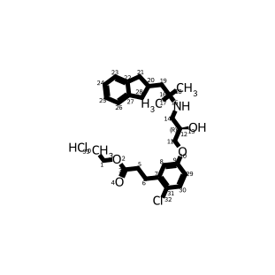 CCOC(=O)CCc1cc(OC[C@H](O)CNC(C)(C)CC2Cc3ccccc3C2)ccc1Cl.Cl